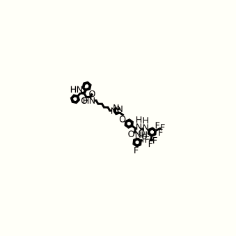 O=C(Nc1cc(C(F)(F)F)cc(C(F)(F)F)c1)N[C@@H](C(=O)Nc1ccc(F)cc1F)c1ccc(OCc2cn(CCCCCCNC(=O)C(=O)c3c(-c4ccccc4)[nH]c4ccccc34)nn2)cc1